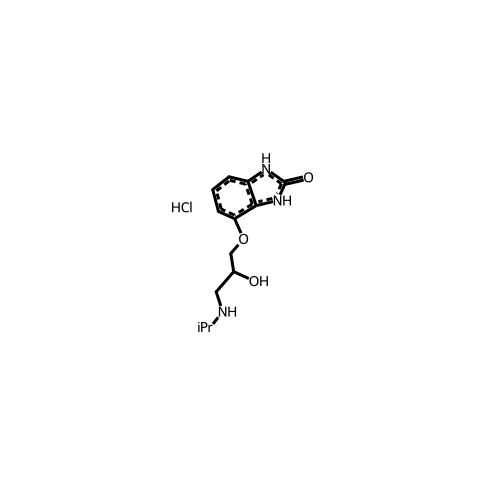 CC(C)NCC(O)COc1cccc2[nH]c(=O)[nH]c12.Cl